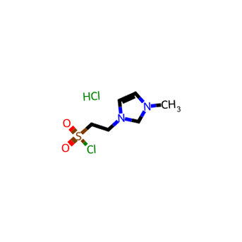 CN1C=CN(CCS(=O)(=O)Cl)C1.Cl